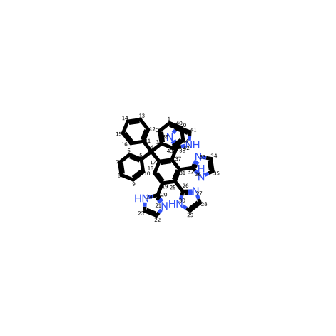 c1ccc(C(c2ccccc2)(c2ccccc2)c2cc(-c3ncc[nH]3)c(-c3ncc[nH]3)c(-c3ncc[nH]3)c2-c2ncc[nH]2)cc1